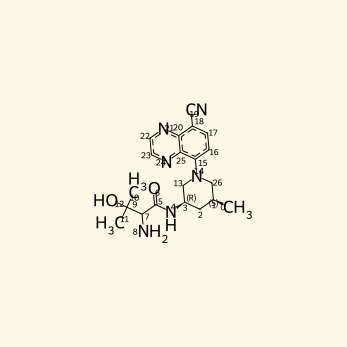 C[C@H]1C[C@@H](NC(=O)C(N)C(C)(C)O)CN(c2ccc(C#N)c3nccnc23)C1